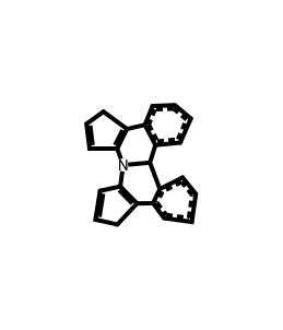 C1=CC2=C(C1)c1ccccc1C1c3ccccc3C3=C(C=CC3)N21